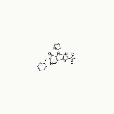 CS(=O)(=O)c1nc2c(s1)c1cnn(Cc3ccccc3)c(=O)c1n2-c1nccs1